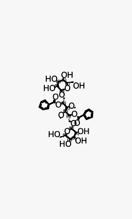 CO[C@@H]([C@H](OC)[C@@H](CO[C@@H]1O[C@H](CO)[C@@H](O)[C@H](O)[C@H]1O)OC(=O)c1ccccc1)[C@@H](CO[C@@H]1O[C@H](CO)[C@@H](O)[C@H](O)[C@H]1O)OC(=O)c1ccccc1